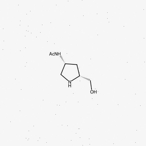 CC(=O)N[C@H]1CN[C@@H](CO)C1